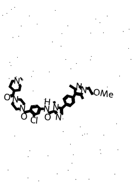 COCCn1nc(C)c(-c2ccc(-c3cnc(C(=O)Nc4ccc(C(=O)N5CCN(C(=O)C6CC[N+](C)(C)CC6)CC5)c(Cl)c4)n3C)cc2)c1C